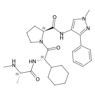 CN[C@@H](C)C(=O)N[C@H](C(=O)N1CCC[C@H]1C(=O)Nc1cn(C)nc1-c1ccccc1)C1CCCCC1